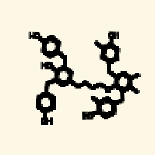 Cc1cc(Cc2cc(C)c(C)c(Cc3ccc(O)c(C)c3)c2OCCCCc2cc(Cc3ccc(O)cc3)c(O)c(Cc3ccc(O)cc3)c2)ccc1O